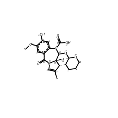 COc1cc2c(cc1O)N(C(=O)O)C(OC1CCCCO1)[C@@H]1CC(C)=CN1C2=O